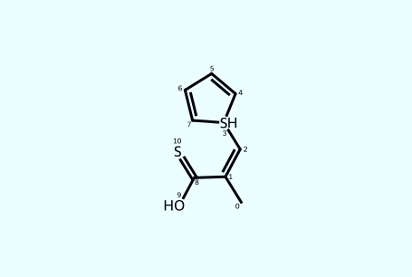 CC(=C[SH]1C=CC=C1)C(O)=S